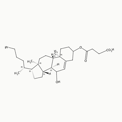 CC(C)CCC[C@@H](C)[C@H]1CC[C@H]2[C@@H]3C(O)C=C4CC(OC(=O)CCC(=O)O)CC[C@]4(C)[C@H]3CC[C@]12C